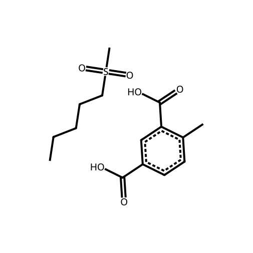 CCCCCS(C)(=O)=O.Cc1ccc(C(=O)O)cc1C(=O)O